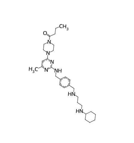 CCCC(=O)N1CCN(c2cc(C)nc(NCc3ccc(CNCCCNC4CCCCC4)cc3)n2)CC1